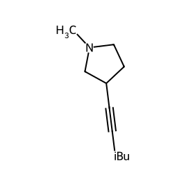 CCC(C)C#CC1CCN(C)C1